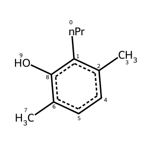 CCCc1c(C)ccc(C)c1O